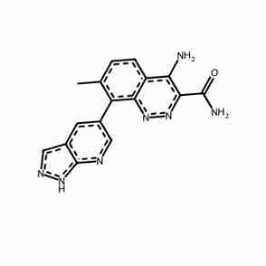 Cc1ccc2c(N)c(C(N)=O)nnc2c1-c1cnc2[nH]ncc2c1